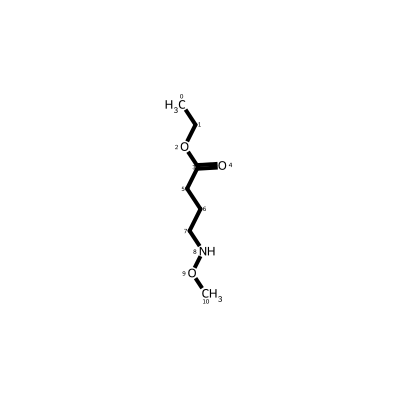 CCOC(=O)CCCNOC